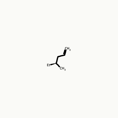 C=CC[C@@H](C)CC